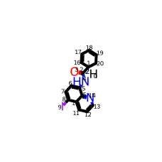 [2H]C1(C(=O)Nc2ccc(I)c3cccnc23)C=CC=CC1